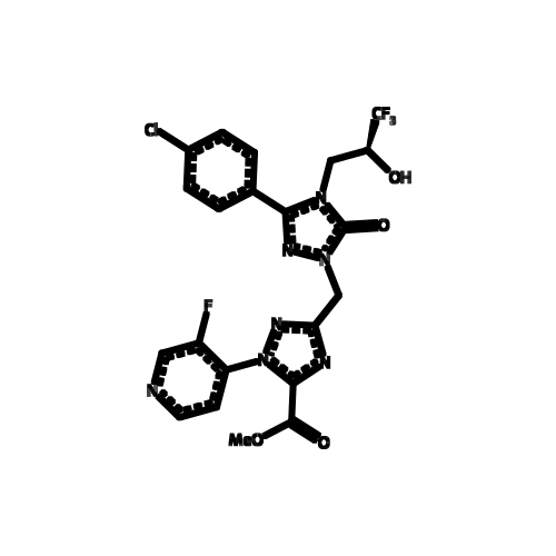 COC(=O)c1nc(Cn2nc(-c3ccc(Cl)cc3)n(C[C@H](O)C(F)(F)F)c2=O)nn1-c1ccncc1F